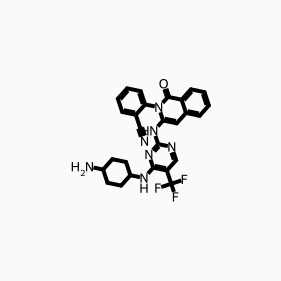 N#Cc1ccccc1-n1c(Nc2ncc(C(F)(F)F)c(NC3CCC(N)CC3)n2)cc2ccccc2c1=O